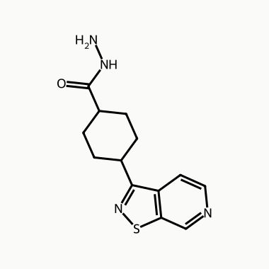 NNC(=O)C1CCC(c2nsc3cnccc23)CC1